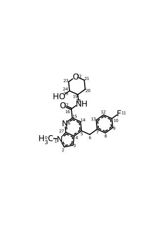 Cn1ccc2c(Cc3ccc(F)cc3)cc(C(=O)NC3CCOCC3O)nc21